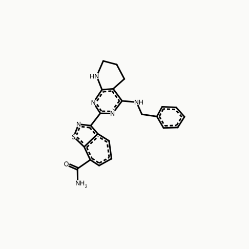 NC(=O)c1cccc2c(-c3nc4c(c(NCc5ccccc5)n3)CCCN4)nsc12